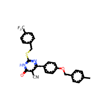 Cc1ccc(COc2ccc(-c3nc(SCc4ccc(C(F)(F)F)cc4)[nH]c(=O)c3C#N)cc2)cc1